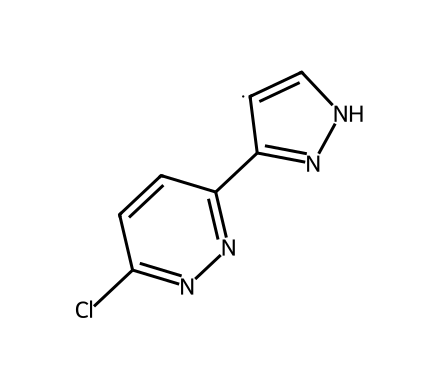 Clc1ccc(-c2[c]c[nH]n2)nn1